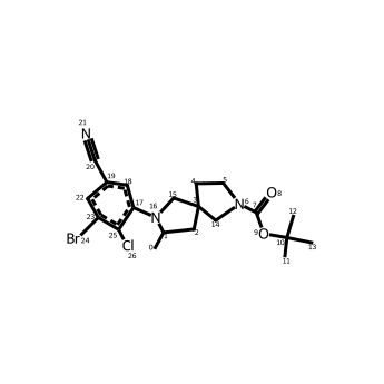 CC1CC2(CCN(C(=O)OC(C)(C)C)C2)CN1c1cc(C#N)cc(Br)c1Cl